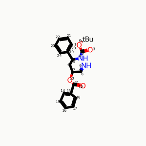 CC(C)(C)OC(=O)NC(CC(C=N)OC(=O)c1ccccc1)c1ccccc1